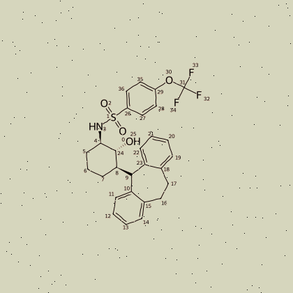 O=S(=O)(N[C@@H]1CCC[C@H](C2c3ccccc3CCc3ccccc32)[C@H]1O)c1ccc(OC(F)(F)F)cc1